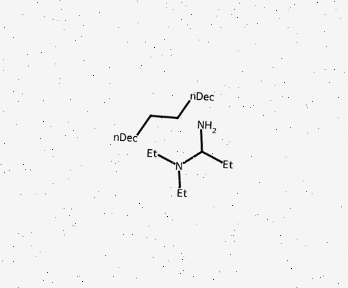 CCC(N)N(CC)CC.CCCCCCCCCCCCCCCCCCCCCC